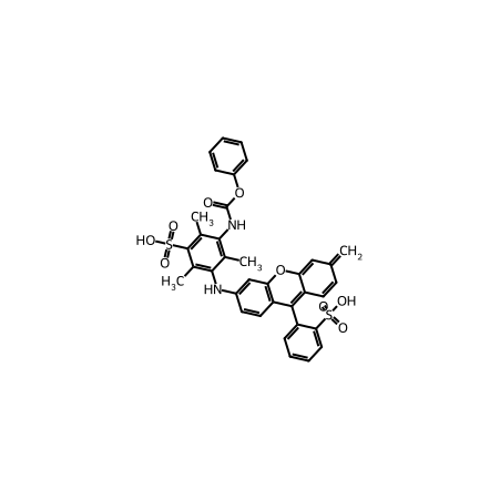 C=c1ccc2c(c1)Oc1cc(Nc3c(C)c(NC(=O)Oc4ccccc4)c(C)c(S(=O)(=O)O)c3C)ccc1C=2c1ccccc1S(=O)(=O)O